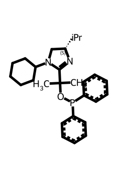 CC(C)[C@H]1CN(C2CCCCC2)C(C(C)(C)OP(c2ccccc2)c2ccccc2)=N1